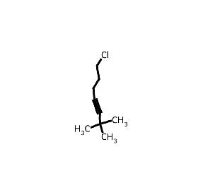 CC(C)(C)C#CCCCCl